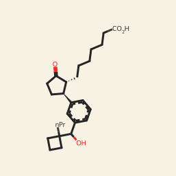 CCCC1(C(O)c2cccc([C@H]3CCC(=O)[C@@H]3CCCCCCC(=O)O)c2)CCC1